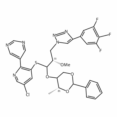 CO[C@@H](Cn1cc(-c2cc(F)c(F)c(F)c2)nn1)C(OC1COC(c2ccccc2)O[C@@H]1C)Sc1cc(Cl)cnc1-c1cncnc1